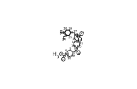 CC(=O)N1CCC(C(=O)N2CCC3(CC2)CN(Cc2ccc(F)c(F)c2)C(=O)O3)CC1